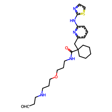 O=CCCNCCCOCCCNC(=O)C1(Cc2cccc(Nc3nccs3)n2)CCCCC1